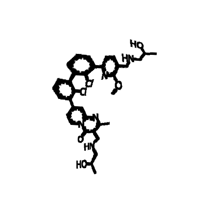 COc1nc(-c2cccc(-c3cccc(-c4ccn5c(=O)c(CNCC(C)O)c(C)nc5c4)c3Cl)c2Cl)ccc1CNCC(C)O